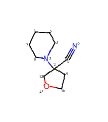 N#CC1(N2CCCCC2)CCOC1